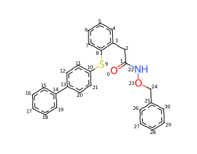 O=C(Cc1ccccc1Sc1ccc(-c2ccccc2)cc1)NOCc1ccccc1